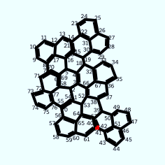 C1=CC(C2=C(C3C=Cc4cccc5cccc3c45)C(C3C=Cc4cccc5cccc3c45)c3cccc4cc(C5C=Cc6cccc7cccc5c67)c(C5C=Cc6cccc7cccc5c67)c2c34)c2cccc3cccc1c23